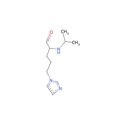 CC(C)NC(C=O)CCCn1c[c]nc1